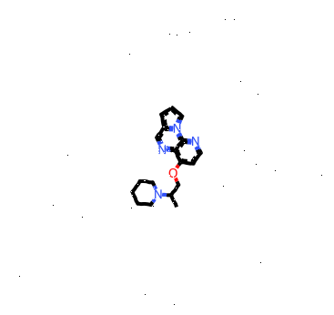 CC(COc1ccnc2c1ncc1cccn12)N1CCCCC1